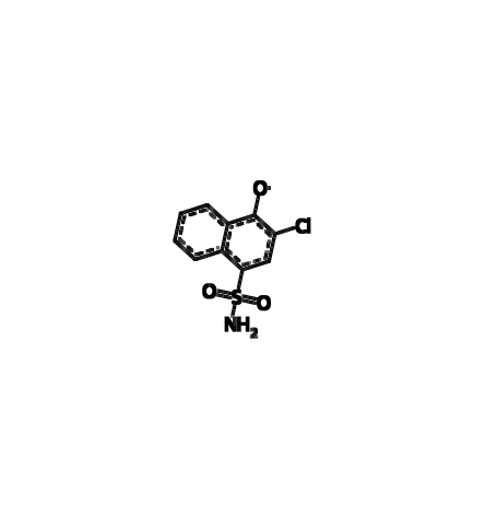 NS(=O)(=O)c1cc(Cl)c([O])c2ccccc12